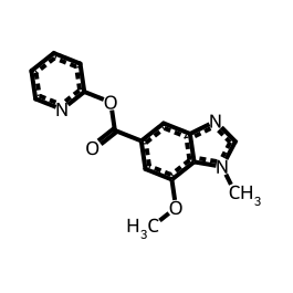 COc1cc(C(=O)Oc2ccccn2)cc2ncn(C)c12